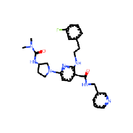 CN(C)C(=O)N[C@@H]1CCN(c2ccc(C(=O)NCc3cccnc3)c(NCCc3cccc(F)c3)n2)C1